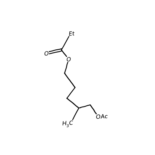 CCC(=O)OCCC[C](C)COC(C)=O